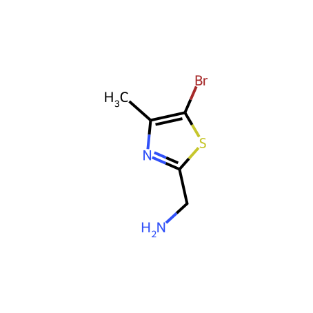 Cc1nc(CN)sc1Br